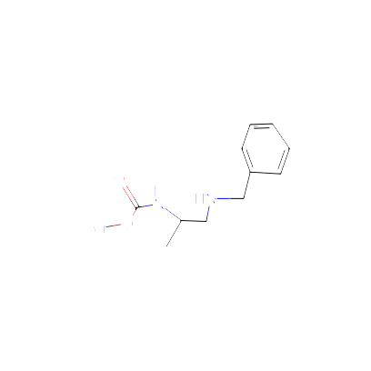 CC(CNCc1ccccc1)NC(=O)OC(C)(C)C